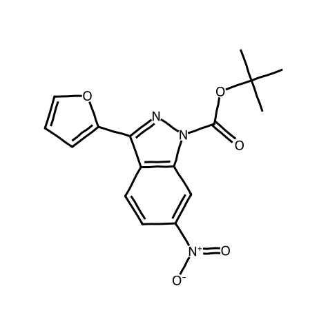 CC(C)(C)OC(=O)n1nc(-c2ccco2)c2ccc([N+](=O)[O-])cc21